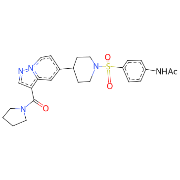 CC(=O)Nc1ccc(S(=O)(=O)N2CCC(c3ccn4ncc(C(=O)N5CCCC5)c4c3)CC2)cc1